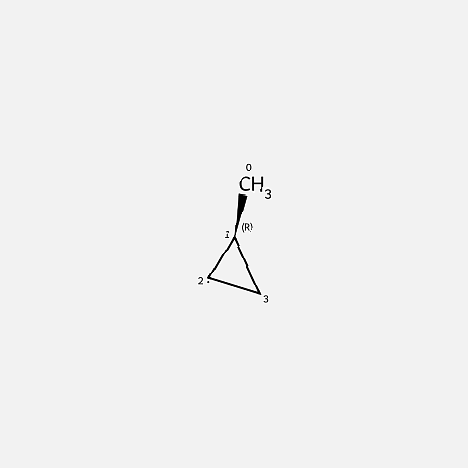 C[C@@H]1[CH]C1